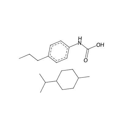 CC1CCC(C(C)C)CC1.CCCc1ccc(NC(=O)O)cc1